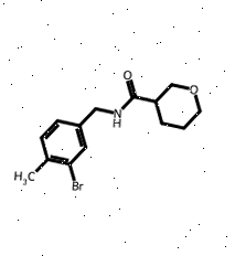 Cc1ccc(CNC(=O)C2CCCOC2)cc1Br